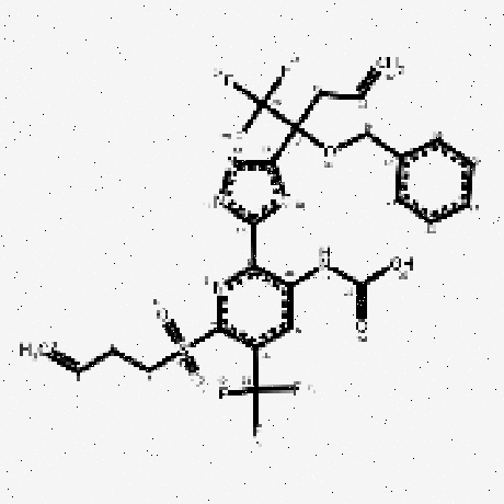 C=CCCS(=O)(=O)c1nc(-c2nnc(C(CC=C)(OCc3ccccc3)C(F)(F)F)o2)c(NC(=O)O)cc1C(F)(F)F